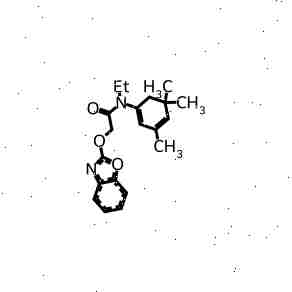 CCN(C(=O)COc1nc2ccccc2o1)C1=CC(C)=CC(C)(C)C1